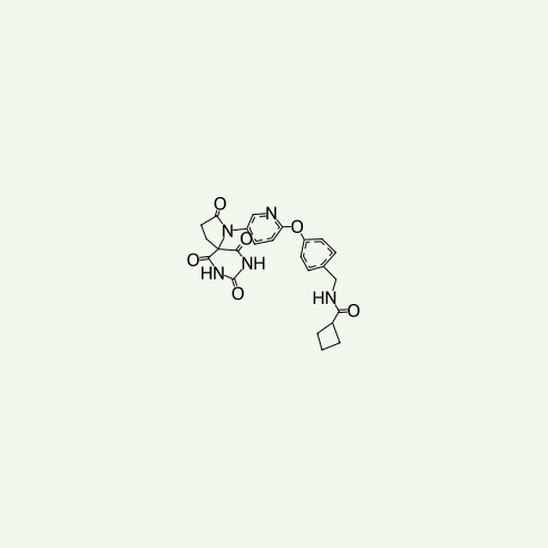 O=C1NC(=O)C2(CCC(=O)N2c2ccc(Oc3ccc(CNC(=O)C4CCC4)cc3)nc2)C(=O)N1